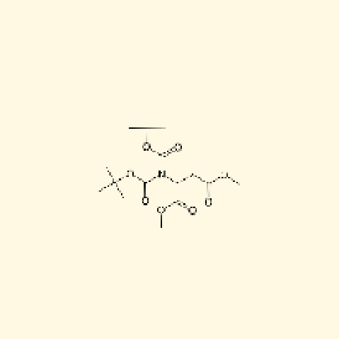 COC(=O)CC(C(=O)OC)N(C(=O)OC(C)(C)C)C(=O)OC(C)(C)C